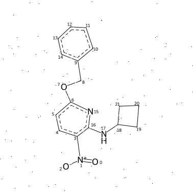 O=[N+]([O-])c1ccc(OCc2ccccc2)nc1NC1CCC1